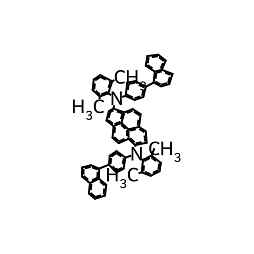 Cc1cccc(C)c1N(c1ccc(-c2cccc3ccccc23)cc1)c1ccc2ccc3c(N(c4ccc(-c5cccc6ccccc56)cc4)c4c(C)cccc4C)ccc4ccc1c2c43